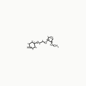 CO[C@@H]1COC[C@@H]1OCCOC1CCNCC1